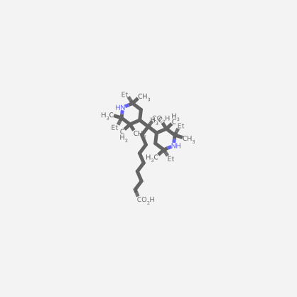 CCC1(C)CC(C(CCCCCCCC(=O)O)(C(=O)O)C2CC(C)(CC)NC(C)(CC)C2(C)C)C(C)(C)C(C)(CC)N1